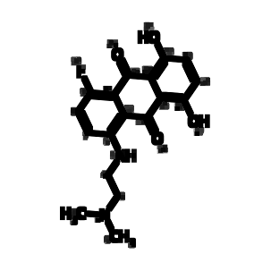 CN(C)CCNc1ccc(F)c2c1C(=O)c1c(O)ccc(O)c1C2=O